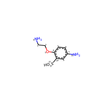 NCCOc1ccc(N)cc1S(=O)(=O)O